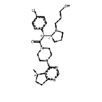 C[C@@H]1CCc2ncnc(N3CCN(C(=O)[C@@H](c4ccc(Cl)cc4)[C@@H]4CCCN4CCCO)CC3)c21